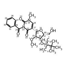 CO[C@@H]1[C@H](O[Si](C)(C)C(C)(C)C)[C@@H](CO)O[C@H]1c1cn(C)c(=O)n(C(=O)c2ccccc2)c1=O